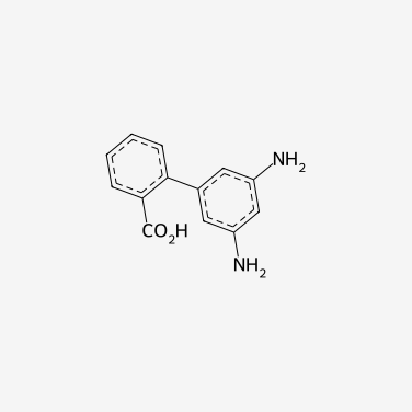 Nc1cc(N)cc(-c2ccccc2C(=O)O)c1